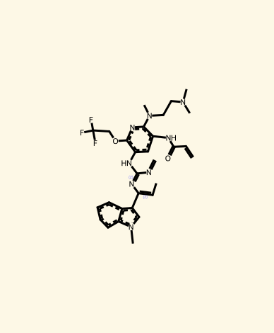 C=CC(=O)Nc1cc(N/C(N=C)=N/C(=C\C)c2cn(C)c3ccccc23)c(OCC(F)(F)F)nc1N(C)CCN(C)C